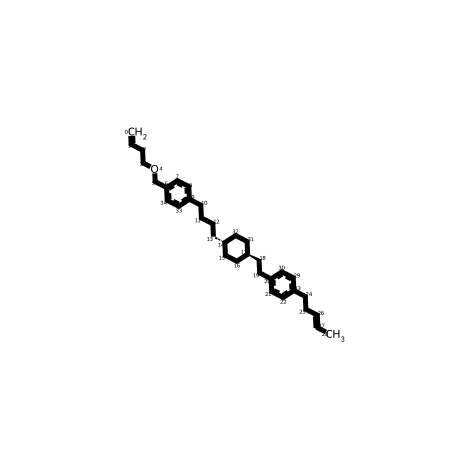 C=CCCOCc1ccc(CCCC[C@H]2CC[C@H](CCc3ccc(CC/C=C/C)cc3)CC2)cc1